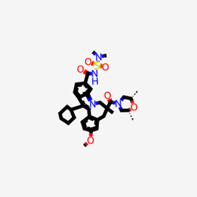 COc1ccc2c(c1)CC(C)(C(=O)N1C[C@@H](C)O[C@@H](C)C1)Cn1c-2c(C2CCCCC2)c2ccc(C(=O)NS(=O)(=O)N(C)C)cc21